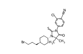 CC1(C)C(=O)N(c2ccc(C#N)c(Cl)c2)C(=S)N1[C@H]1CC[C@H](CCCBr)CC1